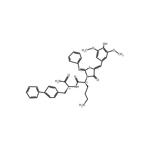 COc1cc(/C=C2\S/C(=N\c3ccccc3)N([C@@H](CCCN)C(=O)N[C@@H](Cc3ccc(-c4ccccc4)cc3)C(N)=O)C2=O)cc(OC)c1O